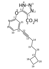 O=C(O)c1nn[nH]c1Oc1cccc(C#CCCCC2CCC2)c1